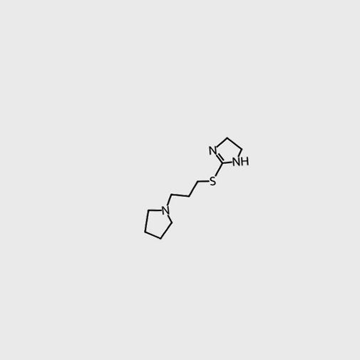 C1CCN(CCCSC2=NCCN2)C1